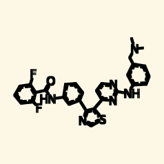 CN(C)Cc1cccc(Nc2nccc(-c3scnc3-c3cccc(NC(=O)c4c(F)cccc4F)c3)n2)c1